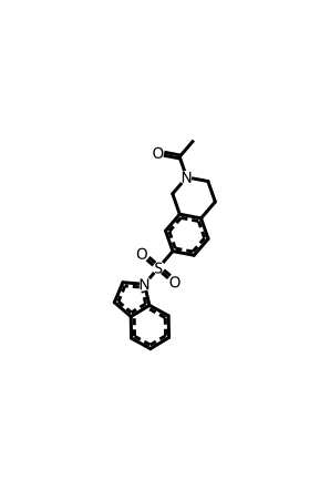 CC(=O)N1CCc2ccc(S(=O)(=O)n3ccc4ccccc43)cc2C1